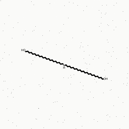 OCCCCCCCCCCCCCCCCCCCCCCNCCCCCCCCCCCCCCCCCCCCCCO